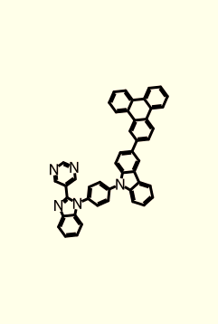 c1ccc2c(c1)nc(-c1cncnc1)n2-c1ccc(-n2c3ccccc3c3cc(-c4ccc5c6ccccc6c6ccccc6c5c4)ccc32)cc1